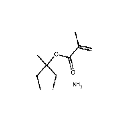 C=C(C)C(=O)OC(C)(CC)CC.N